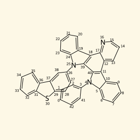 c1ccc(-n2c3ccccc3c3c4cccnc4c4c5ccccc5n(-c5ccc6sc7ccccc7c6c5)c4c32)cc1